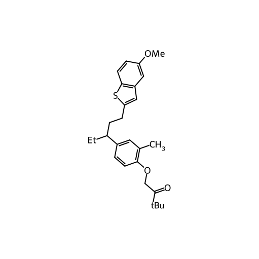 CCC(CCc1cc2cc(OC)ccc2s1)c1ccc(OCC(=O)C(C)(C)C)c(C)c1